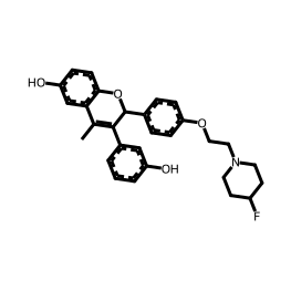 CC1=C(c2cccc(O)c2)C(c2ccc(OCCN3CCC(F)CC3)cc2)Oc2ccc(O)cc21